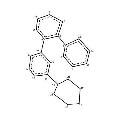 c1ccc(-c2ccccc2-c2cccc(C3CCCCC3)c2)cc1